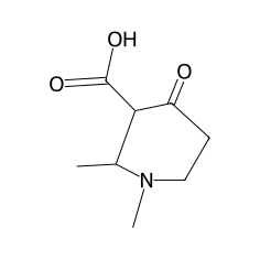 CC1C(C(=O)O)C(=O)CCN1C